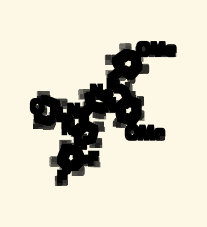 COc1ccc(CN(Cc2ccc(OC)cc2)c2ncc(-c3nc(N4CCOCC4)nc4c3CCN4c3ccc(F)cc3F)cn2)cc1